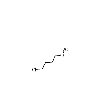 CC(=O)OCCCCCl